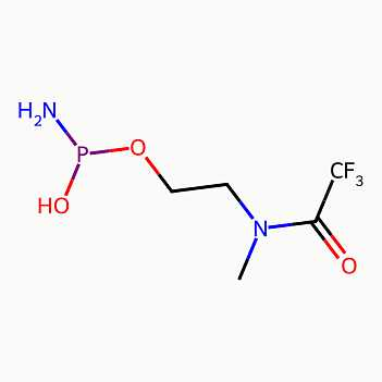 CN(CCOP(N)O)C(=O)C(F)(F)F